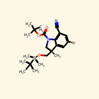 CC(C)(C)OC(=O)N1C[C@@](C)(CO[Si](C)(C)C(C)(C)C)c2cc(Br)cc(C#N)c21